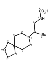 CC(C)(C)C(CNC(=O)O)N1CCC2(CCOC2)CC1